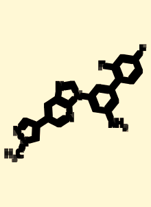 Cn1cc(-c2cnc3c(c2)ncn3-c2cc(N)cc(-c3ccc(F)cc3F)c2)cn1